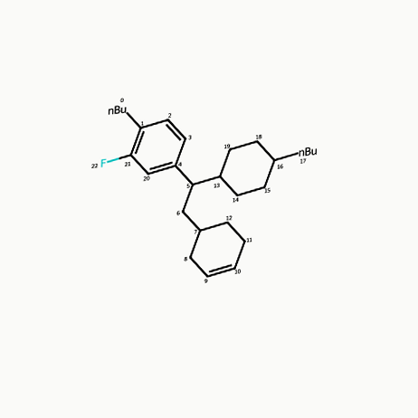 CCCCc1ccc(C(CC2CC=CCC2)C2CCC(CCCC)CC2)cc1F